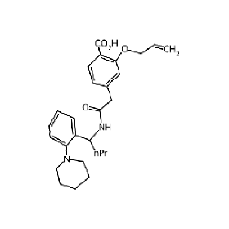 C=CCOc1cc(CC(=O)NC(CCC)c2ccccc2N2CCCCC2)ccc1C(=O)O